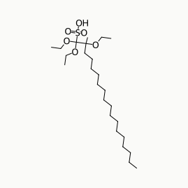 CCCCCCCCCCCCCCCCC(C)(OCC)C(OCC)(OCC)S(=O)(=O)O